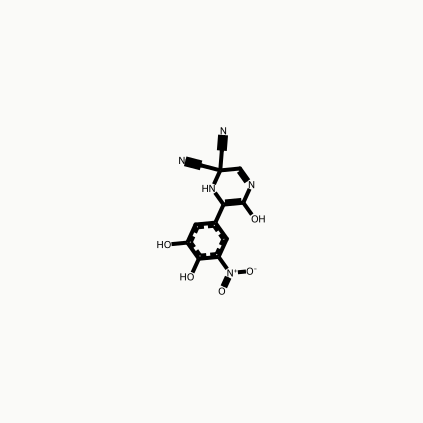 N#CC1(C#N)C=NC(O)=C(c2cc(O)c(O)c([N+](=O)[O-])c2)N1